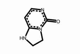 O=c1nccc2n1CCN2